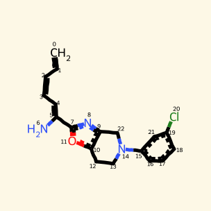 C=C/C=C\C=C(/N)c1nc2c(o1)CCN(c1cccc(Cl)c1)C2